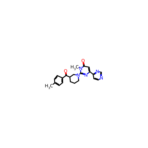 Cc1ccc(C(=O)C2CCCN(c3nc(-c4ccncn4)cc(=O)n3C)C2)cc1